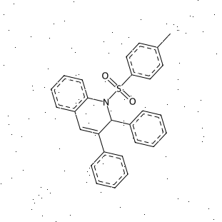 Cc1ccc(S(=O)(=O)N2c3ccccc3C=C(c3ccccc3)C2c2ccccc2)cc1